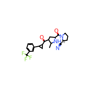 CC1NC(C(=O)N2CCC[C@H]2C#N)CC1C(=O)C1CC1c1cccc(C(F)(F)F)c1